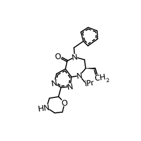 C=C[C@@H]1CN(Cc2ccccc2)C(=O)c2cnc(C3CNCCO3)nc2N1C(C)C